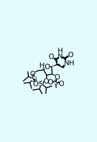 CC(C)[Si]1(C(C)C)OC[C@H]2O[C@@H](c3c[nH]c(=O)[nH]c3=O)[C@@H](OS(C)(=O)=O)C2O[Si](C(C)C)(C(C)C)O1